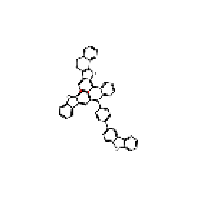 c1ccc(N(c2ccc(-c3ccc4oc5ccccc5c4c3)cc2)c2ccc3oc4ccccc4c3c2)c(-c2cccc3c2oc2c4ccccc4ccc32)c1